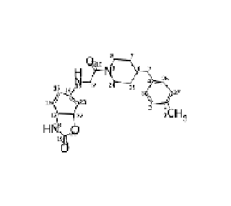 Cc1ccc(CC2CCN(C(=O)CNc3ccc4[nH]c(=O)oc4c3)CC2)cc1